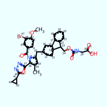 COc1ccc(C(=O)n2c(Cc3ccc4c(c3)-c3ccccc3C4COC(=O)NCC(=O)O)cc(C)c2-c2nnc(C3CC3)o2)cc1Br